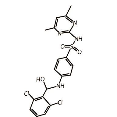 Cc1cc(C)nc(NS(=O)(=O)c2ccc(NC(O)c3c(Cl)cccc3Cl)cc2)n1